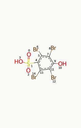 O=S(=O)(O)c1c(Br)c(Br)c(O)c(Br)c1Br